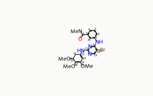 CNC(=O)c1cccc(Nc2nc(NC3=CC(OC)=C(OC)C(OC)C3)ncc2Br)c1